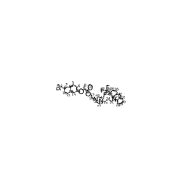 CC(Oc1ccc2cc(Br)ccc2c1)C(=O)OCCN1CCN(CCCN2c3ccccc3Sc3ccc(C(F)(F)F)cc32)CC1